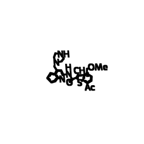 COCc1ccc(C(C)=O)c2sc(C(=O)Nc3cc(CN4CCNCC4)c4ccccc4n3)c(C)c12